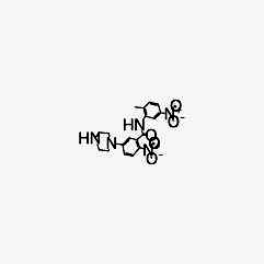 Cc1ccc([N+](=O)[O-])cc1NC(=O)c1cc(N2CCNCC2)ccc1[N+](=O)[O-]